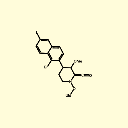 COC1C(=C=O)N(OC(C)(C)C)CCC1c1ccc2cc(I)ccc2c1Br